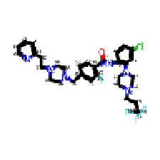 O=C(Nc1ccc(Cl)cc1N1CCN(CCC(F)(F)F)CC1)c1ccc(CN2CCN(CCc3ccccn3)CC2)cc1F